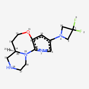 FC1(F)CN(c2cnc3c(c2)OCC[C@@H]2CNCCN32)C1